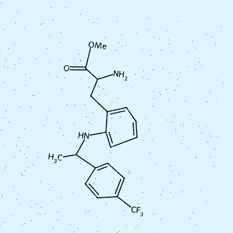 COC(=O)C(N)Cc1ccccc1NC(C)c1ccc(C(F)(F)F)cc1